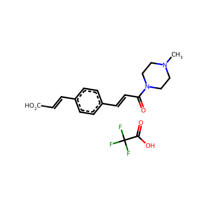 CN1CCN(C(=O)/C=C/c2ccc(/C=C/C(=O)O)cc2)CC1.O=C(O)C(F)(F)F